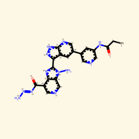 CC(C)CC(=O)Nc1cncc(-c2cnc3[nH]nc(-c4nc5c(C(=O)N=NN)cncc5n4N)c3c2)c1